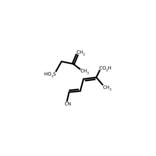 C=C(C)CS(=O)(=O)O.CC(=CC=CC#N)C(=O)O